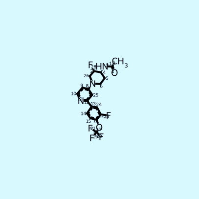 CC(=O)N[C@@H]1CCN(c2ccnc(-c3ccc(OC(F)(F)F)c(F)c3)c2)C[C@H]1F